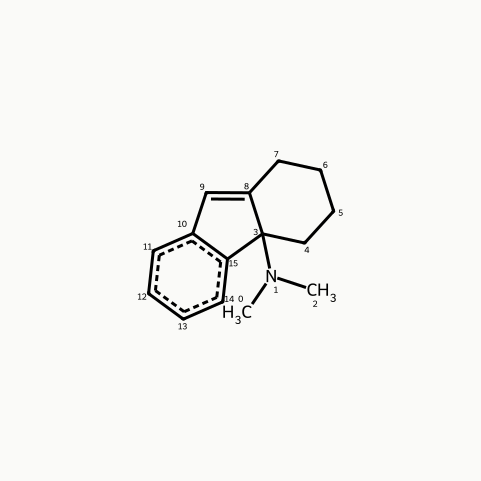 CN(C)C12CCCCC1=Cc1ccccc12